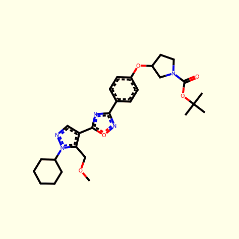 COCc1c(-c2nc(-c3ccc(OC4CCN(C(=O)OC(C)(C)C)C4)cc3)no2)cnn1C1CCCCC1